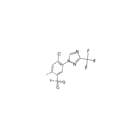 Cc1cc(Cl)c(-n2cnc(C(F)(F)F)n2)cc1S(=O)(=O)F